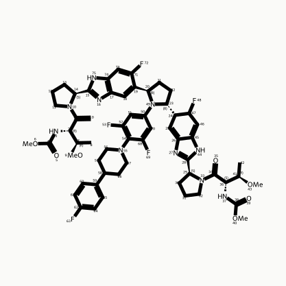 C=C([C@@H](NC(=O)OC)[C@@H](C)OC)N1CCC[C@H]1c1nc2cc([C@H]3CC[C@H](C4C=c5nc([C@@H]6CCCN6C(=O)[C@@H](NC(=O)OC)[C@@H](C)OC)[nH]c5=CC4F)N3c3cc(F)c(N4CCC(c5ccc(F)cc5)CC4)c(F)c3)c(F)cc2[nH]1